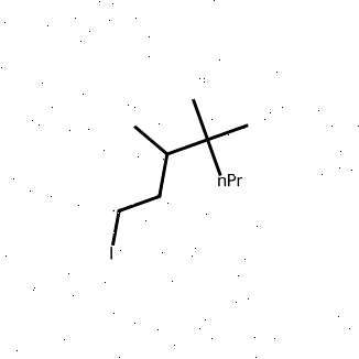 CCCC(C)(C)C(C)C[CH]I